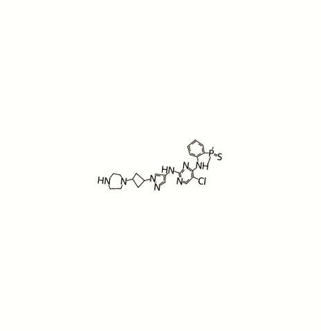 CP(C)(=S)c1ccccc1Nc1nc(Nc2cnn(C3CC(N4CCNCC4)C3)c2)ncc1Cl